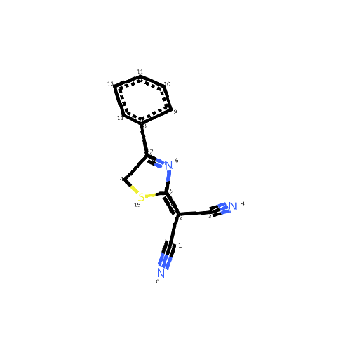 N#CC(C#N)=C1N=C(c2ccccc2)CS1